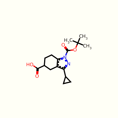 CC(C)(C)OC(=O)n1nc(C2CC2)c2c1CCC(C(=O)O)C2